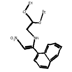 CCOC(CNC(=C[N+](=O)[O-])c1cccc2ccccc12)OCC